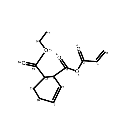 C=CC(=O)OC(=O)C1C=CCCC1C(=O)OCC